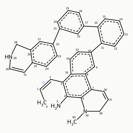 C/C=C\c1c(N)c2c(c3cc(-c4ccccc4-c4cccc(-c5ccc6c(c5)CNC=C6)c4)ccc13)C=CCN2C